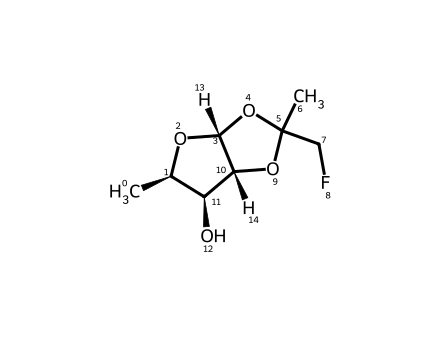 C[C@H]1O[C@@H]2OC(C)(CF)O[C@@H]2[C@H]1O